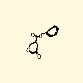 O=C1COCC(C(=O)OCc2ccccc2)C1